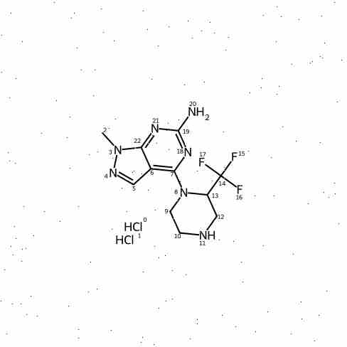 Cl.Cl.Cn1ncc2c(N3CCNCC3C(F)(F)F)nc(N)nc21